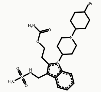 CC(C)C1CCC(N2CCC(n3c(CCOC(N)=O)c(CNS(C)(=O)=O)c4ccccc43)CC2)CC1